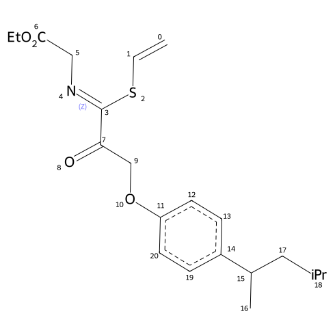 C=CS/C(=N\CC(=O)OCC)C(=O)COc1ccc(C(C)CC(C)C)cc1